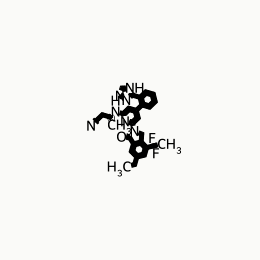 CCc1cc2c(c(C(C)(F)F)c1)CN(c1cc(-c3ccccc3-c3nnc[nH]3)cc(N[C@H](C)CC#N)n1)C2=O